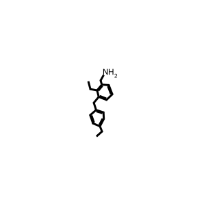 CCc1ccc(Cc2cccc(CN)c2CC)cc1